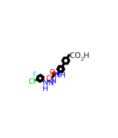 O=C(O)CC1CCC(c2ccc(NC(=O)c3nnc(Nc4ccc(F)c(Cl)c4)o3)cc2)CC1